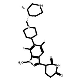 Cn1nc(C2CCC(=O)NC2=O)c2cc(F)c(C3CCN(C[C@H]4CCNC[C@H]4F)CC3)c(F)c21